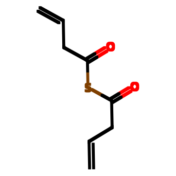 C=CCC(=O)SC(=O)CC=C